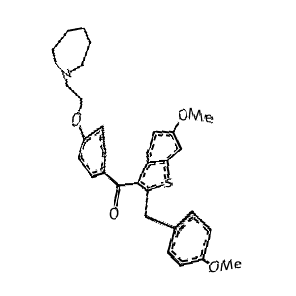 COc1ccc(Cc2sc3cc(OC)ccc3c2C(=O)c2ccc(OCCN3CCCCC3)cc2)cc1